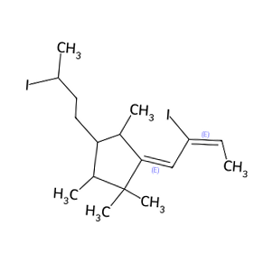 C/C=C(I)\C=C1/C(C)C(CCC(C)I)C(C)C1(C)C